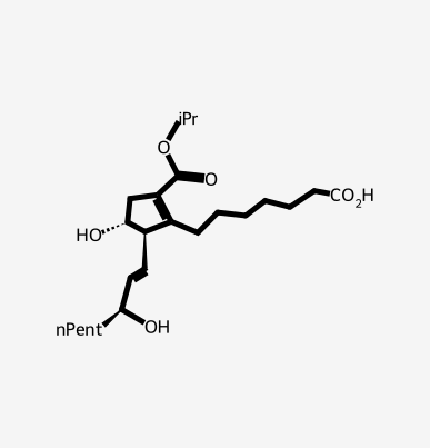 CCCCC[C@H](O)C=C[C@@H]1C(CCCCCCC(=O)O)=C(C(=O)OC(C)C)C[C@H]1O